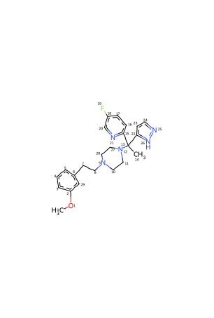 COc1cccc(CCN2CCN(C(C)(c3ccc(F)cn3)c3ccn[nH]3)CC2)c1